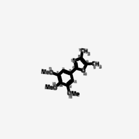 COc1cc(-c2nc(C)c(C)o2)cc(OC)c1OC